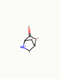 O=C1SC2CNC1C2